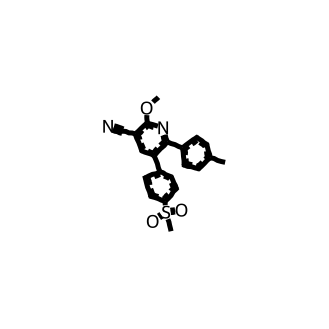 COc1nc(-c2ccc(C)cc2)c(-c2ccc(S(C)(=O)=O)cc2)cc1C#N